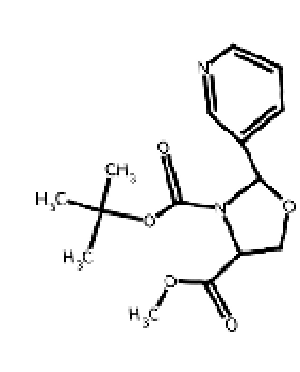 COC(=O)C1COC(c2cccnc2)N1C(=O)OC(C)(C)C